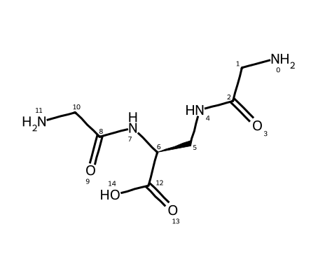 NCC(=O)NC[C@H](NC(=O)CN)C(=O)O